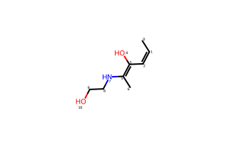 C/C=C\C(O)=C(/C)NCCO